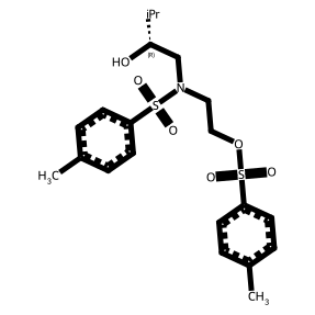 Cc1ccc(S(=O)(=O)OCCN(C[C@H](O)C(C)C)S(=O)(=O)c2ccc(C)cc2)cc1